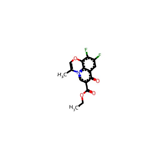 CCOC(=O)c1cn2c3c(c(F)c(F)cc3c1=O)OC=C2C